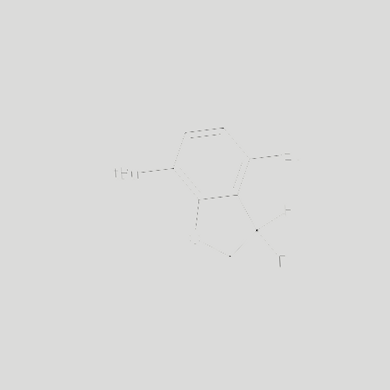 CCc1ccc(C(C)(C)C)c2c1C(F)(F)CO2